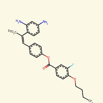 CCOC(=O)C(=Cc1ccc(OC(=O)c2ccc(OCCCC(F)(F)F)c(F)c2)cc1)c1ccc(N)cc1N